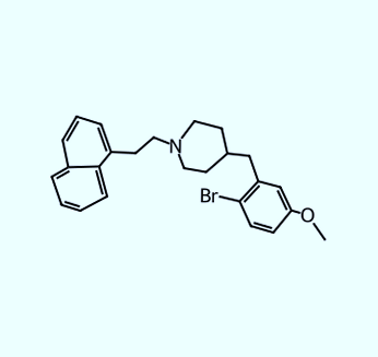 COc1ccc(Br)c(CC2CCN(CCc3cccc4ccccc34)CC2)c1